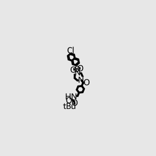 CC(C)(C)OC(=O)NCC1CCC(C(=O)N2CCCN(S(=O)(=O)c3ccc4cc(Cl)ccc4c3)CC2)CC1